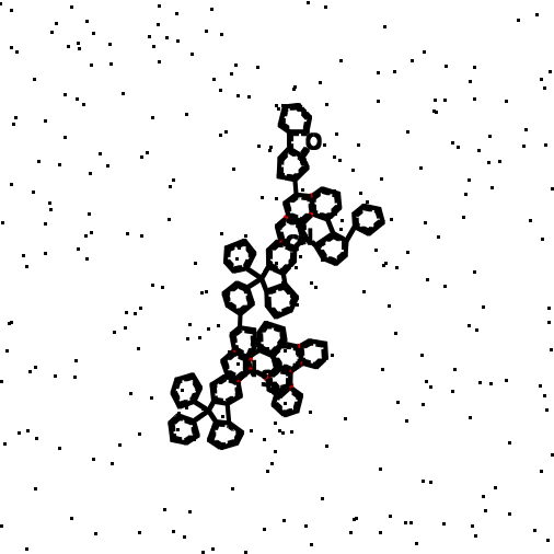 c1ccc(-c2ccccc2-c2c(-c3ccccc3)cccc2N(c2ccc(-c3ccc4c(c3)oc3ccccc34)cc2)c2ccc3c(c2)-c2ccccc2C3(c2ccccc2)c2cccc(-c3ccc(N(c4ccc5c(c4)-c4ccccc4C5(c4ccccc4)c4ccccc4)c4cccc(-c5ccccc5)c4-c4ccccc4-c4ccccc4)c(-c4cccc5c4sc4ccccc45)c3)c2)cc1